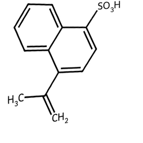 C=C(C)c1ccc(S(=O)(=O)O)c2ccccc12